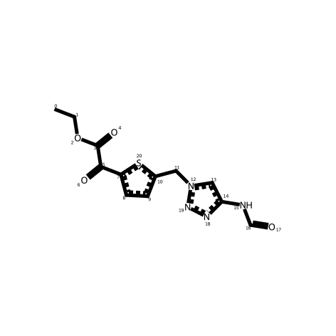 CCOC(=O)C(=O)c1ccc(Cn2cc(NC=O)nn2)s1